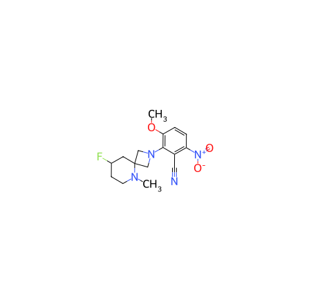 COc1ccc([N+](=O)[O-])c(C#N)c1N1CC2(CC(F)CCN2C)C1